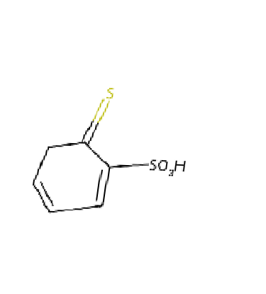 O=S(=O)(O)C1=CC=CCC1=S